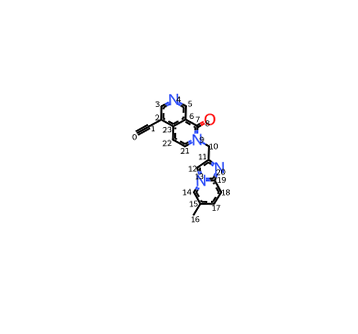 C#Cc1cncc2c(=O)n(Cc3cn4cc(C)ccc4n3)ccc12